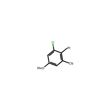 COc1cc(Cl)c(C(C)C)c(C#N)c1